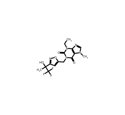 CCn1c(=O)n(Cc2cc(C(C)(O)C(F)(F)F)no2)c(=O)c2c1ncn2C